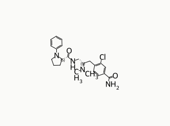 CN(C)[C@H](CNC(=O)[C@@H]1CCCN1c1ccccc1)Cc1ccc(C(N)=O)cc1Cl